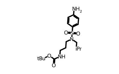 CC(C)CN(CCCNC(=O)OC(C)(C)C)S(=O)(=O)c1ccc(N)cc1